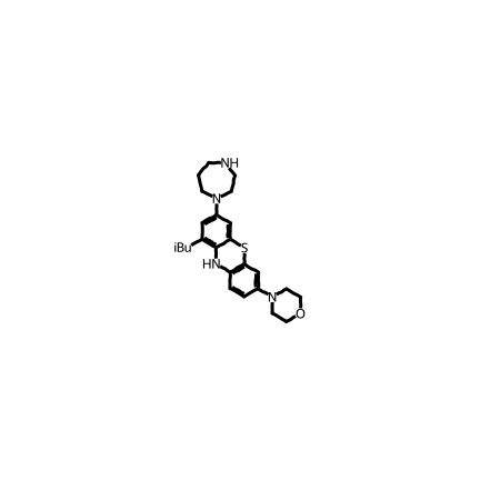 CCC(C)c1cc(N2CCCNCC2)cc2c1Nc1ccc(N3CCOCC3)cc1S2